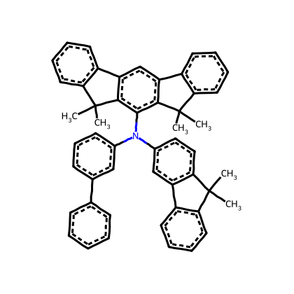 CC1(C)c2ccccc2-c2cc(N(c3cccc(-c4ccccc4)c3)c3c4c(cc5c3C(C)(C)c3ccccc3-5)-c3ccccc3C4(C)C)ccc21